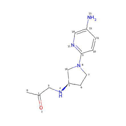 CC(=O)CN[C@@H]1CCN(c2ccc(N)cn2)C1